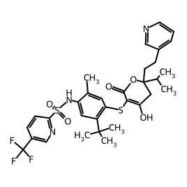 Cc1cc(SC2=C(O)CC(CCc3cccnc3)(C(C)C)OC2=O)c(C(C)(C)C)cc1NS(=O)(=O)c1ccc(C(F)(F)F)cn1